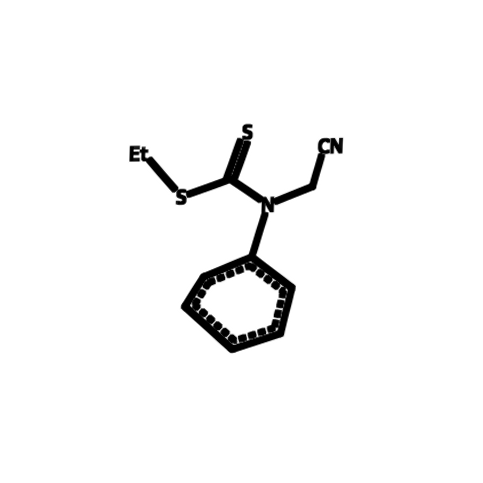 CCSC(=S)N(CC#N)c1ccccc1